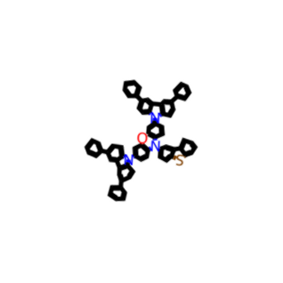 c1ccc(-c2ccc3c(c2)c2cc(-c4ccccc4)ccc2n3-c2ccc3c(c2)Oc2cc(-n4c5ccc(-c6ccccc6)cc5c5cc(-c6ccccc6)ccc54)ccc2N3c2ccc3sc4ccccc4c3c2)cc1